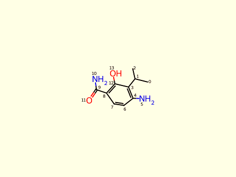 CC(C)c1c(N)ccc(C(N)=O)c1O